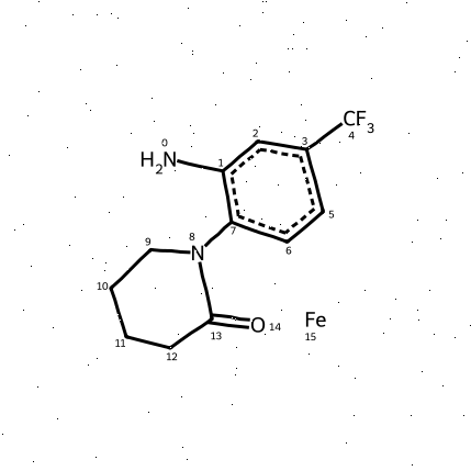 Nc1cc(C(F)(F)F)ccc1N1CCCCC1=O.[Fe]